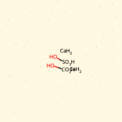 O=C(O)O.O=S(=O)(O)O.[CaH2].[CaH2]